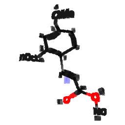 CCCCCCCCc1cc(OC)ccc1/C=C/C(=O)ON=O